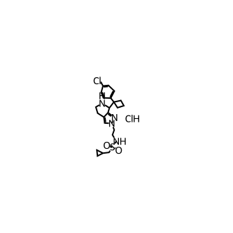 Cl.O=S(=O)(CC1CC1)NCCn1cc2c(n1)C(C1(c3ccc(Cl)cc3)CCC1)NCC2